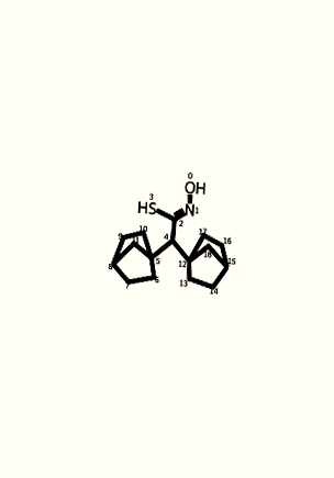 ON=C(S)C(C12CCC(CC1)C2)C12CCC(CC1)C2